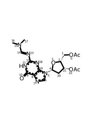 CC(=O)OC[C@H]1O[C@@H](n2cnc3c(=O)[nH]c(/N=C/N(C)C)nc32)C[C@H]1OC(C)=O